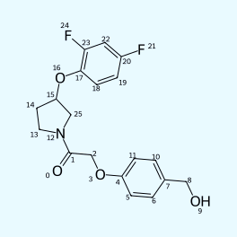 O=C(COc1ccc(CO)cc1)N1CCC(Oc2ccc(F)cc2F)C1